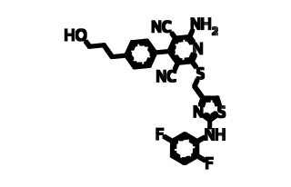 N#Cc1c(N)nc(SCc2csc(Nc3cc(F)ccc3F)n2)c(C#N)c1-c1ccc(CCCO)cc1